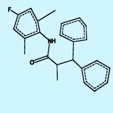 Cc1cc(F)cc(C)c1NC(=O)C(C)C(c1ccccc1)c1ccccc1